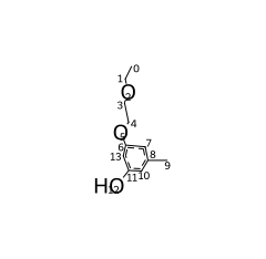 CCOCCOc1cc(C)cc(O)c1